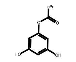 [CH2]CCC(=O)Oc1cc(O)cc(O)c1